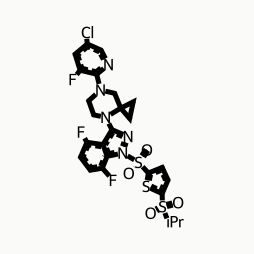 CC(C)S(=O)(=O)c1ccc(S(=O)(=O)n2nc(N3CCN(c4ncc(Cl)cc4F)CC34CC4)c3c(F)ccc(F)c32)s1